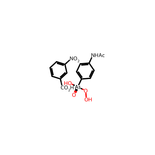 CC(=O)Nc1ccc([As](=O)(O)OO)cc1.O=C(O)c1cccc([N+](=O)[O-])c1